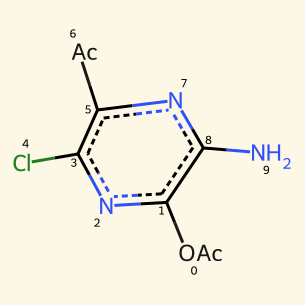 CC(=O)Oc1nc(Cl)c(C(C)=O)nc1N